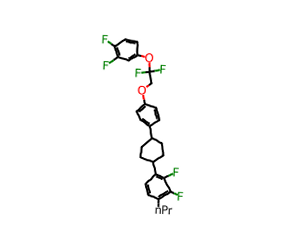 CCCc1ccc(C2CCC(c3ccc(OCC(F)(F)Oc4ccc(F)c(F)c4)cc3)CC2)c(F)c1F